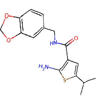 CC(C)c1cc(C(=O)NCc2ccc3c(c2)OCO3)c(N)s1